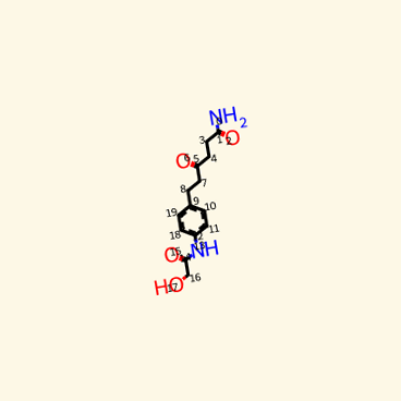 NC(=O)CCC(=O)CCc1ccc(NC(=O)CO)cc1